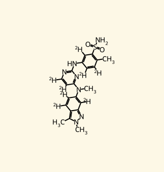 [2H]c1nc(Nc2c([2H])c([2H])c(C)c(S(N)(=O)=O)c2[2H])nc(N(C)c2c([2H])c([2H])c3c(C)n(C)nc3c2[2H])c1[2H]